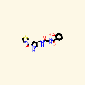 O=C(CNC(=O)c1ccccc1O)NC[C@@H]1CN[C@H](C(=O)N2CCSC2)C1